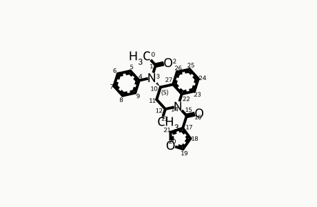 CC(=O)N(c1ccccc1)[C@H]1CC(C)N(C(=O)c2ccoc2)c2ccccc21